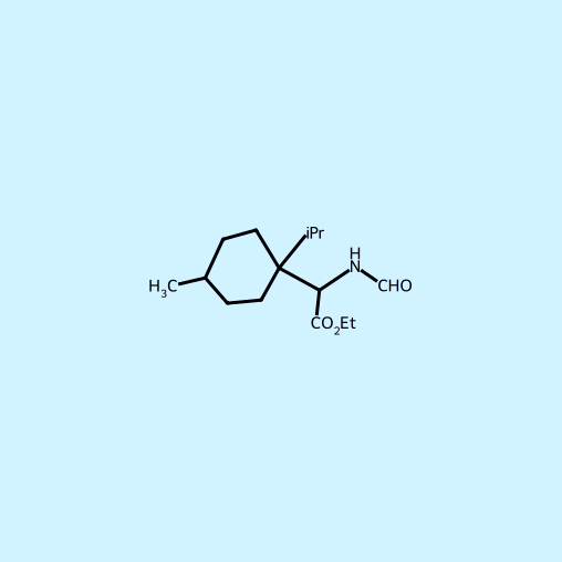 CCOC(=O)C(NC=O)C1(C(C)C)CCC(C)CC1